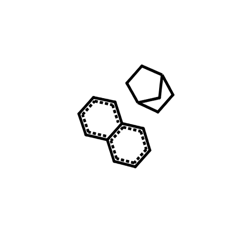 C1CC2CCC1C2.c1ccc2ccccc2c1